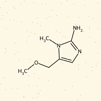 COCc1cnc(N)n1C